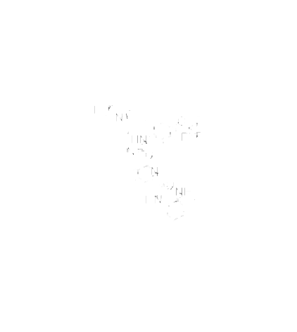 CN(C)CCCN(Cc1ccc(C(=O)Nc2ccccc2N)nc1)C(=O)Nc1ccc(OC(F)(F)F)cc1